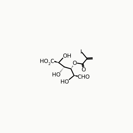 C=C(I)C(=O)O[C@@H]([C@H](O)[C@H](O)C(=O)O)[C@H](O)C=O